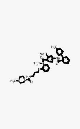 COc1cc(NC(=O)c2ccccc2-c2ccc(C)cc2)ccc1C(=O)N(C)c1ccccc1OCCCNC(=O)N1CCN(C)CC1